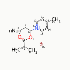 C=C(C)C(=O)OC(CCCCCCCCCC)[n+]1ccc(C)cc1.[Br-]